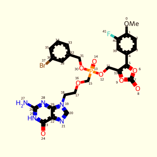 COc1ccc(-c2oc(=O)oc2COP(=O)(COCCn2cnc3c(=O)[nH]c(N)nc32)OCc2cccc(Br)c2)cc1F